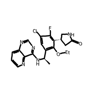 CCOc1c([C@@H](C)Nc2ncnc3cccnc23)cc(Cl)c(F)c1[C@@H]1CNC(=O)C1